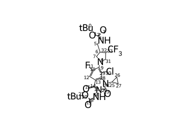 CC(C)(C)OC(=O)NCC1CN(c2c(F)cc3c(=O)n(NC(=O)OC(C)(C)C)c(=O)n(C4CC4)c3c2Cl)CC1C(F)(F)F